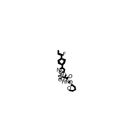 C/C=C(\F)c1ccc(C2=NO[C@@H](C[C@](C)(C(=O)NOC3CCCCO3)S(C)(=O)=O)C2)cc1